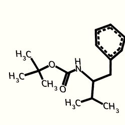 CC(C)C(Cc1ccccc1)NC(=O)OC(C)(C)C